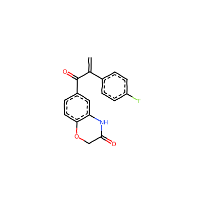 C=C(C(=O)c1ccc2c(c1)NC(=O)CO2)c1ccc(F)cc1